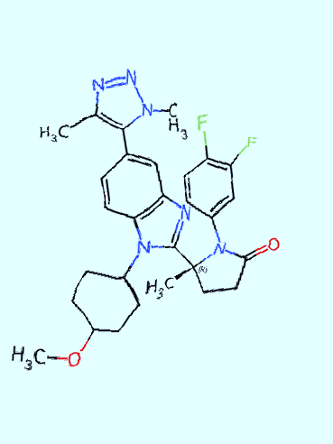 COC1CCC(n2c([C@@]3(C)CCC(=O)N3c3ccc(F)c(F)c3)nc3cc(-c4c(C)nnn4C)ccc32)CC1